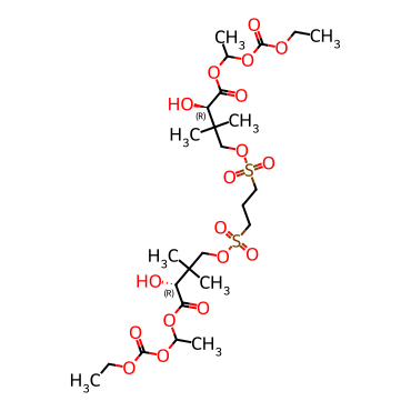 CCOC(=O)OC(C)OC(=O)[C@H](O)C(C)(C)COS(=O)(=O)CCCS(=O)(=O)OCC(C)(C)[C@@H](O)C(=O)OC(C)OC(=O)OCC